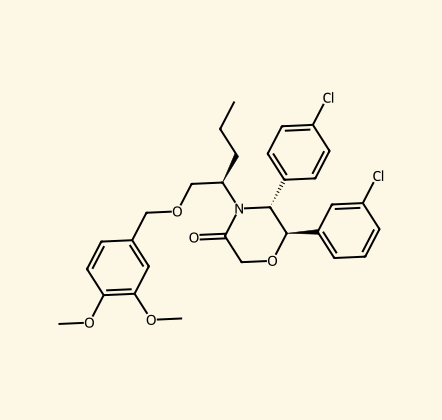 CCC[C@H](COCc1ccc(OC)c(OC)c1)N1C(=O)CO[C@H](c2cccc(Cl)c2)[C@H]1c1ccc(Cl)cc1